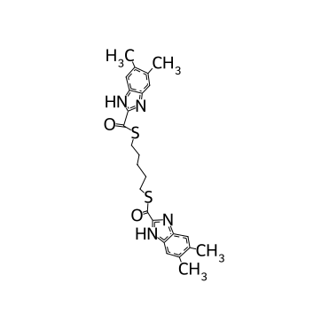 Cc1cc2nc(C(=O)SCCCCCSC(=O)c3nc4cc(C)c(C)cc4[nH]3)[nH]c2cc1C